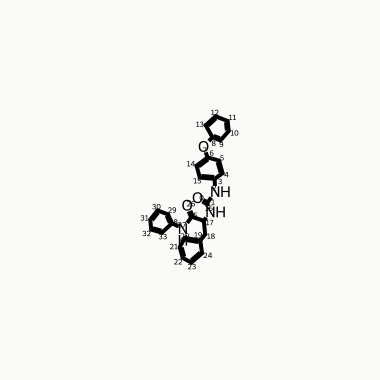 O=C(Nc1ccc(Oc2ccccc2)cc1)NC(Cc1ccccc1)C(=O)Nc1ccccc1